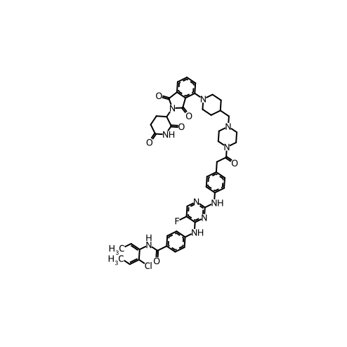 C/C=C(Cl)\C(=C/C)NC(=O)c1ccc(Nc2nc(Nc3ccc(CC(=O)N4CCN(CC5CCN(c6cccc7c6C(=O)N(C6CCC(=O)NC6=O)C7=O)CC5)CC4)cc3)ncc2F)cc1